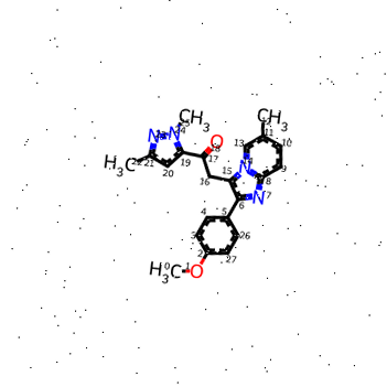 COc1ccc(-c2nc3ccc(C)cn3c2CC(=O)c2cc(C)nn2C)cc1